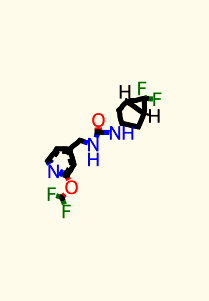 O=C(NCc1ccnc(OC(F)F)c1)N[C@@H]1C[C@@H]2[C@H](C1)C2(F)F